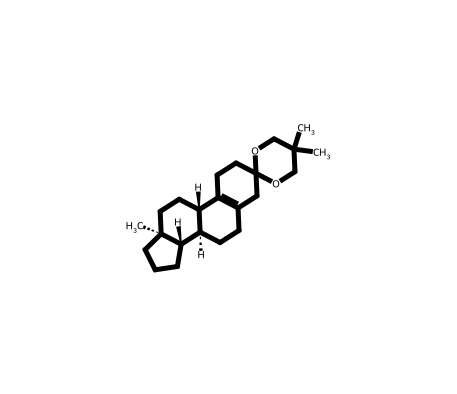 CC1(C)COC2(CCC3=C(CC[C@@H]4[C@@H]3CC[C@]3(C)CCC[C@@H]43)C2)OC1